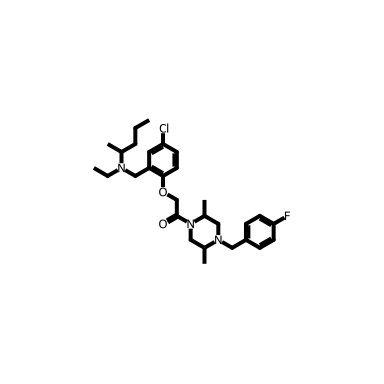 CCCC(C)N(CC)Cc1cc(Cl)ccc1OCC(=O)N1CC(C)N(Cc2ccc(F)cc2)CC1C